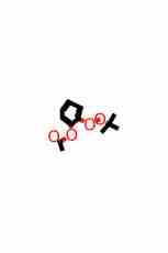 CC(=O)Oc1ccccc1OOC(C)(C)C